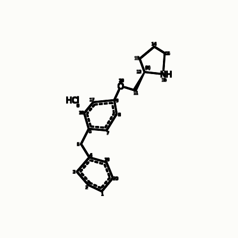 Cl.c1ccc(Cc2ccc(OC[C@H]3CCCN3)cc2)cc1